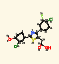 COc1ccc(-c2nc(-c3ccc(Cl)c(F)c3)c(CC(=O)O)s2)cc1Cl